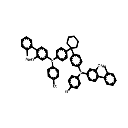 CCc1ccc(N(c2ccc(C3(c4ccc(N(c5ccc(CC)cc5)c5ccc(-c6ccccc6C)c(OC)c5)cc4)CCCCC3)cc2)c2ccc(-c3ccccc3C)c(OC)c2)cc1